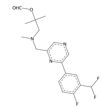 CN(Cc1cncc(-c2ccc(F)c(C(F)F)c2)n1)CC(C)(C)OC=O